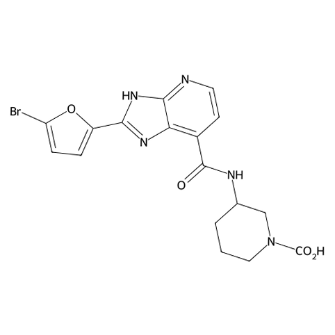 O=C(NC1CCCN(C(=O)O)C1)c1ccnc2[nH]c(-c3ccc(Br)o3)nc12